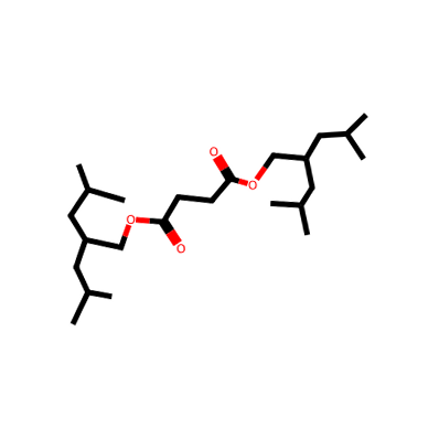 CC(C)CC(COC(=O)CCC(=O)OCC(CC(C)C)CC(C)C)CC(C)C